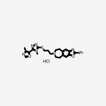 Cc1ncoc1-c1nnc(SCCCN2CCc3cc4nc(C(C)C)oc4cc3CC2)n1C.Cl